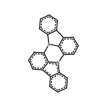 c1ccc2c(c1)B1c3c-2cccc3-n2c3ccccc3c3cccc1c32